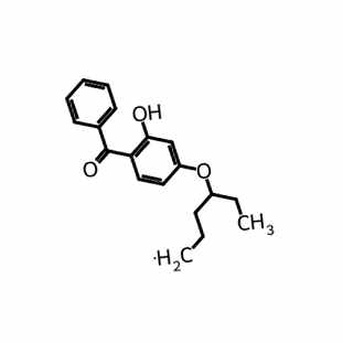 [CH2]CCC(CC)Oc1ccc(C(=O)c2ccccc2)c(O)c1